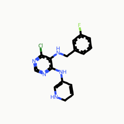 Fc1cccc(CNc2c(Cl)ncnc2NC2=CNCC=C2)c1